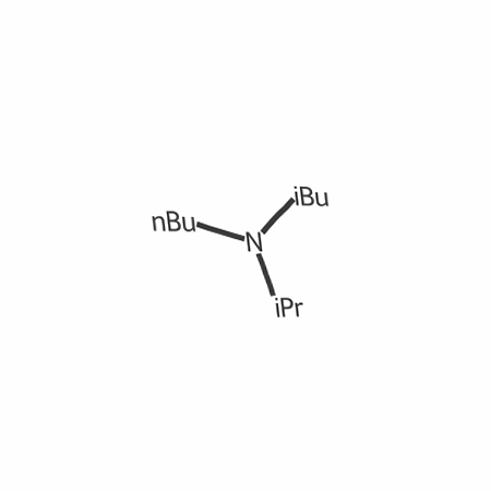 CCCCN(C(C)C)C(C)CC